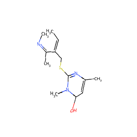 C/C=C(CSC1=NC(C)=CC(O)N1C)\C(C)=N/C